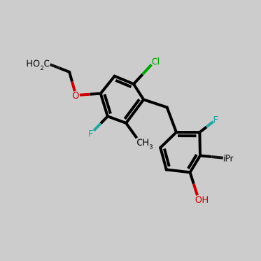 Cc1c(F)c(OCC(=O)O)cc(Cl)c1Cc1ccc(O)c(C(C)C)c1F